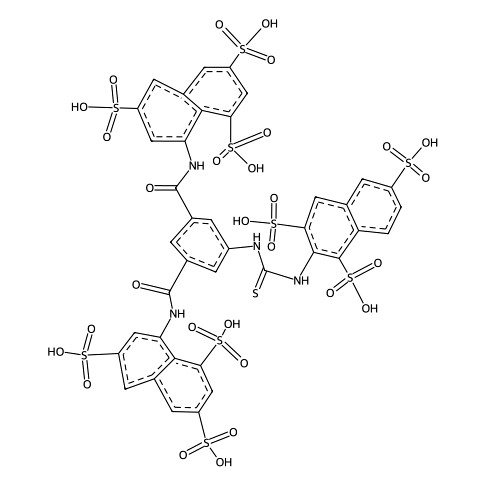 O=C(Nc1cc(S(=O)(=O)O)cc2cc(S(=O)(=O)O)cc(S(=O)(=O)O)c12)c1cc(NC(=S)Nc2c(S(=O)(=O)O)cc3cc(S(=O)(=O)O)ccc3c2S(=O)(=O)O)cc(C(=O)Nc2cc(S(=O)(=O)O)cc3cc(S(=O)(=O)O)cc(S(=O)(=O)O)c23)c1